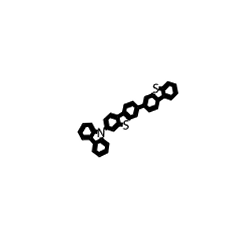 C1=CC2c3ccccc3SC2C=C1c1ccc2c(c1)sc1cc(-n3c4ccccc4c4ccccc43)ccc12